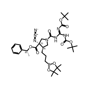 C[C@@H](OC(=O)[C@@]1(N=[N+]=[N-])CN(C(=O)NC(=NC(=O)OC(C)(C)C)NC(=O)OC(C)(C)C)C[C@H]1CCCB1OC(C)(C)C(C)(C)O1)c1ccccc1